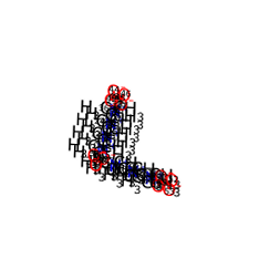 CC[N+](C)(C)C.CC[N+](C)(C)C.CC[N+](C)(C)C.CC[N+](C)(C)C.CC[N+](C)(C)C.CC[N+](C)(C)C.CC[N+](C)(C)C.O=C([O-])C(=O)[O-].O=C([O-])C(=O)[O-].[O-]B([O-])[O-]